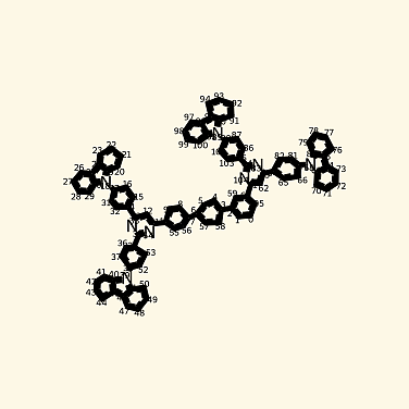 c1cc(-c2ccc(-c3ccc(-c4cc(-c5ccc(-n6c7ccccc7c7ccccc76)cc5)nc(-c5ccc(-n6c7ccccc7c7ccccc76)cc5)n4)cc3)cc2)cc(-c2cc(-c3ccc(-n4c5ccccc5c5ccccc54)cc3)nc(-c3ccc(-n4c5ccccc5c5ccccc54)cc3)n2)c1